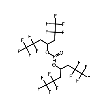 O=[PH](OC(CC(F)(F)C(F)(F)F)CC(F)(F)C(F)(F)F)OC(CC(F)(F)C(F)(F)F)CC(F)(F)C(F)(F)F